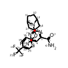 NC(=O)c1cc(N)nc(N2C3CCC2CC(Oc2ccc(C(F)(F)F)cn2)C3)n1